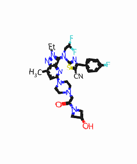 CCn1nc2c(C)cc(N3CCN(CC(=O)N4CC(O)C4)CC3)nc2c1N(CC(F)F)c1nc(-c2ccc(F)cc2)c(C#N)s1